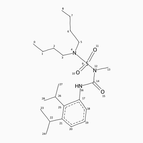 CCCCN(CCCC)S(=O)(=O)N(C)C(=O)Nc1cccc(C(C)C)c1C(C)C